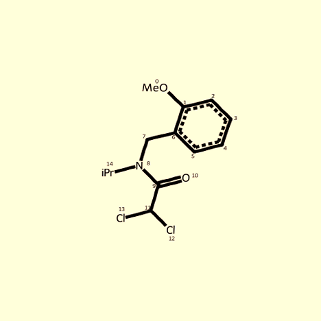 COc1ccccc1CN(C(=O)C(Cl)Cl)C(C)C